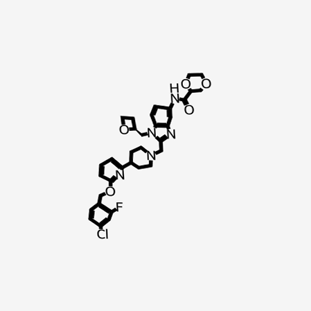 O=C(Nc1ccc2c(c1)nc(CN1CCC(c3cccc(OCc4ccc(Cl)cc4F)n3)CC1)n2C[C@@H]1CCO1)C1COCCO1